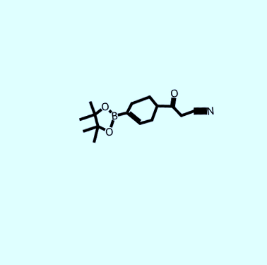 CC1(C)OB(C2=CCC(C(=O)CC#N)CC2)OC1(C)C